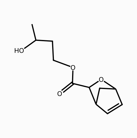 CC(O)CCOC(=O)C1OC2C=CC1C2